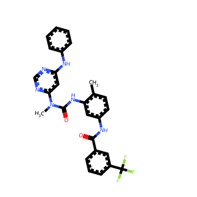 Cc1ccc(NC(=O)c2cccc(C(F)(F)F)c2)cc1NC(=O)N(C)c1cc(Nc2ccccc2)ncn1